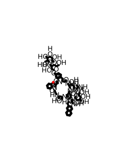 Cc1ccccc1N1C(=O)CNC(=O)C(CO)NC(=O)C(C(O)C2CN(Cc3ccc4ccccc4c3)C(=N)N2C2OC(CO)C(O)C(O)C2O)NC(=O)C(C(O)C2CNC(=N)N2)NC(=O)C(Cc2ccc(OC3OC(CO)C(OC4OC(CO)C(O)C(O)C4O)C(O)C3O)cc2)NC(=O)C1C